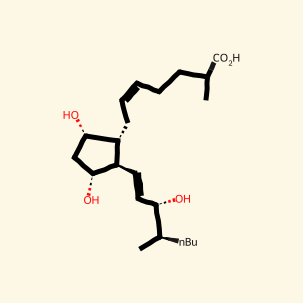 CCCC[C@@H](C)[C@@H](O)/C=C/[C@@H]1[C@@H](C/C=C\CCC(C)C(=O)O)[C@@H](O)C[C@H]1O